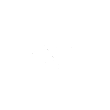 O=C(O)CC(CC1CCCO1)C(=O)N(c1nc(-c2ccccc2-c2ccc(N3CCCC3=O)nc2)cs1)C1CC1